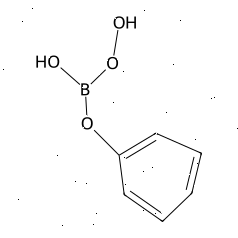 OOB(O)Oc1ccccc1